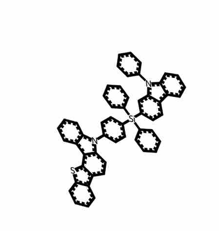 c1ccc(-n2c3ccccc3c3ccc([Si](c4ccccc4)(c4ccccc4)c4ccc(-n5c6ccccc6c6c7sc8ccccc8c7ccc65)cc4)cc32)cc1